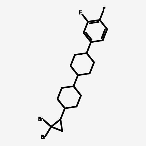 Fc1ccc(C2CCC(C3CCC(C4CC4(Br)Br)CC3)CC2)cc1F